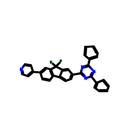 FC1(F)c2cc(-c3ccncc3)ccc2-c2ccc(-c3nc(-c4ccccc4)nc(-c4ccccc4)n3)cc21